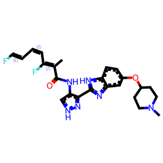 C\C(C(=O)Nc1c[nH]nc1-c1nc2cc(OC3CCN(C)CC3)ccc2[nH]1)=C(F)/C=C\C=C\F